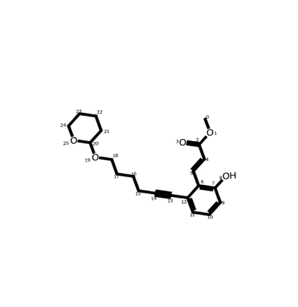 COC(=O)/C=C/c1c(O)cccc1C#CCCCCOC1CCCCO1